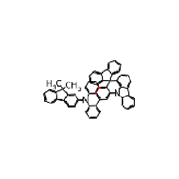 CC1(C)c2ccccc2-c2ccc(N(c3ccccc3)c3ccccc3-c3ccc4c(c3)-n3c5ccccc5c5cccc(c53)C43c4ccccc4-c4ccccc43)cc21